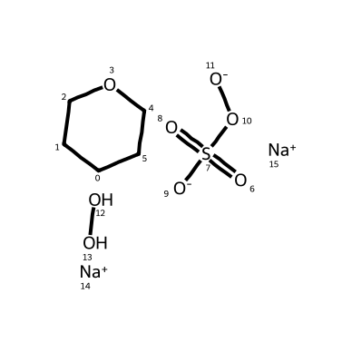 C1CCOCC1.O=S(=O)([O-])O[O-].OO.[Na+].[Na+]